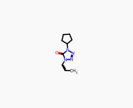 C/C=C\n1nnn(C2CCCC2)c1=O